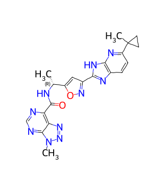 C[C@@H](NC(=O)c1ncnc2c1nnn2C)c1cc(-c2nc3ccc(C4(C)CC4)nc3[nH]2)no1